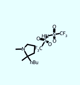 CCCCC1(C)CCCN1C.O=S(=O)(NS(=O)(=O)C(F)(F)F)C(F)(F)F